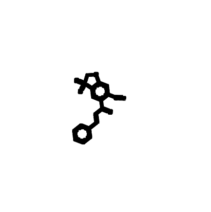 COc1cc2c(cc1C(=O)C=Cc1ccccc1)S(=O)(=O)CO2